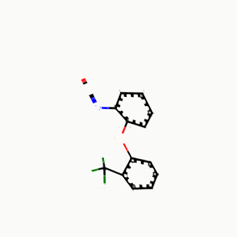 O=C=Nc1ccccc1Oc1ccccc1C(F)(F)F